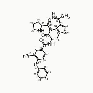 CCCc1cc(C(=O)N[C@@H](Cc2cc(C(=N)N)cs2)C(=O)NC(=O)[C@@H]2CCCN2)ccc1Oc1ccccc1